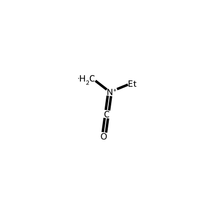 [CH2][N+](=C=O)CC